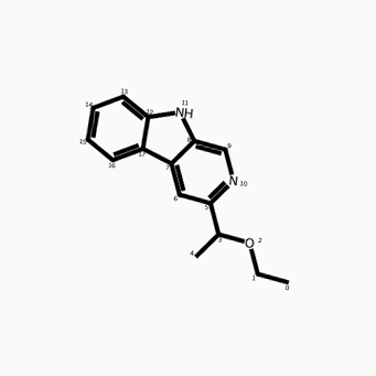 CCOC(C)c1cc2c(cn1)[nH]c1ccccc12